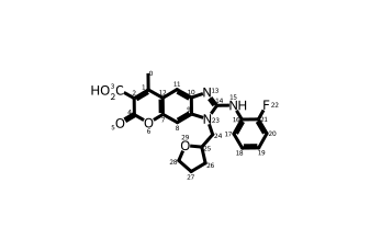 Cc1c(C(=O)O)c(=O)oc2cc3c(cc12)nc(Nc1ccccc1F)n3CC1CCCO1